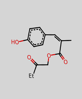 CCC(=O)COC(=O)C(C)=Cc1ccc(O)cc1